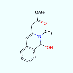 COC(=O)CC1=Cc2ccccc2C(O)N1C